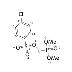 COP(=O)(COS(=O)(=O)c1ccc(Cl)cc1)OC